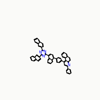 c1ccc(-c2cc(-c3ccc(-c4ccc(-c5nc(-c6ccc7ccccc7c6)nc(-c6ccc7ccccc7c6)n5)c5ccccc45)cc3)c3c(ccc4ccccc43)n2)cc1